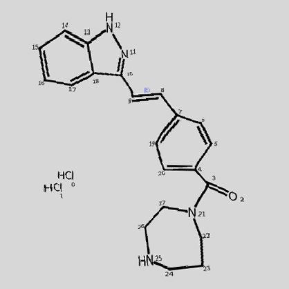 Cl.Cl.O=C(c1ccc(/C=C/c2n[nH]c3ccccc23)cc1)N1CCCNCC1